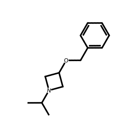 CC(C)N1CC(OCc2ccccc2)C1